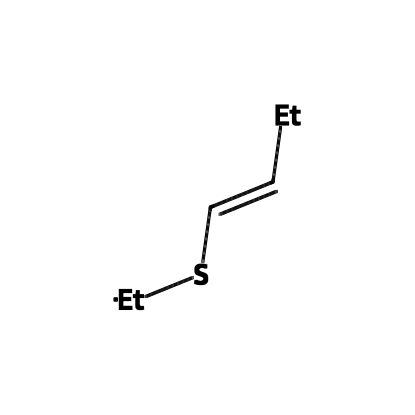 C[CH]S/C=C/CC